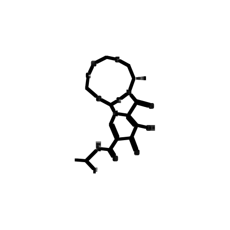 CC(F)NC(=O)c1cn2c(c(O)c1=O)C(=O)N1CC2OCCOCCC[C@@H]1C